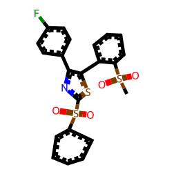 CS(=O)(=O)c1ccccc1-c1sc(S(=O)(=O)c2ccccc2)nc1-c1ccc(F)cc1